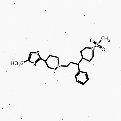 CS(=O)(=O)N1CCC(C(CCN2CCC(c3nc(C(=O)O)cs3)CC2)c2ccccc2)CC1